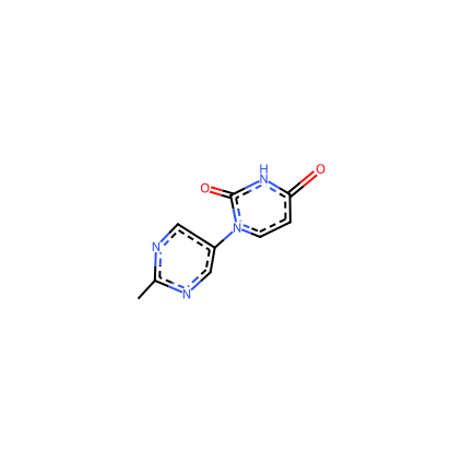 Cc1ncc(-n2ccc(=O)[nH]c2=O)cn1